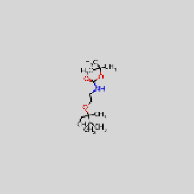 CCC(C)(OCCNC(=O)OC(C)(C)C)C(C)C